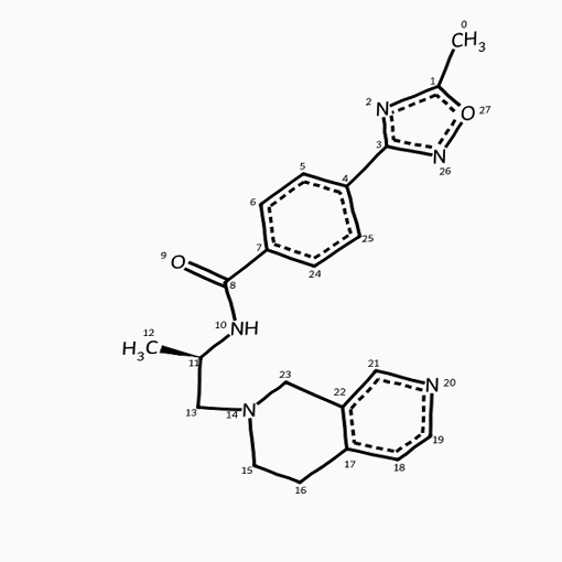 Cc1nc(-c2ccc(C(=O)N[C@H](C)CN3CCc4ccncc4C3)cc2)no1